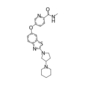 CNC(=O)c1ccc(Oc2ccc3nc(N4CCC(N5CCCCC5)C4)sc3c2)cn1